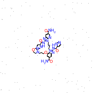 NC(=O)c1cnc2c(c1)nc(NC(=O)c1ccncn1)n2C/C=C/Cn1c(NC(=O)c2ccncn2)nc2cc(C(N)=O)cc(OCCCN3CCOCC3)c21